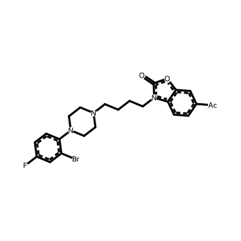 CC(=O)c1ccc2c(c1)oc(=O)n2CCCCN1CCN(c2ccc(F)cc2Br)CC1